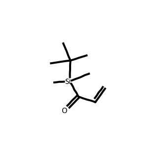 C=CC(=O)[Si](C)(C)C(C)(C)C